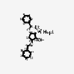 CCCCCCCN(CC)C1C(OCc2ccccc2)CC(OCc2ccccc2)C1O